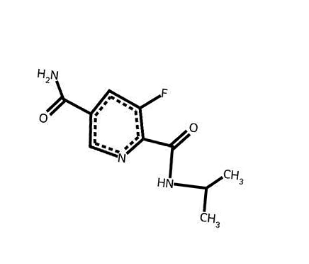 CC(C)NC(=O)c1ncc(C(N)=O)cc1F